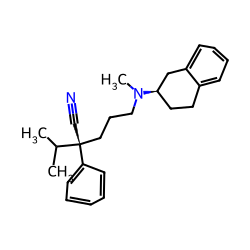 CC(C)[C@](C#N)(CCCN(C)[C@@H]1CCc2ccccc2C1)c1ccccc1